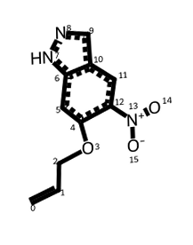 C=CCOc1cc2[nH]ncc2cc1[N+](=O)[O-]